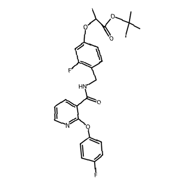 CC(Oc1ccc(CNC(=O)c2cccnc2Oc2ccc(F)cc2)c(F)c1)C(=O)OC(C)(C)C